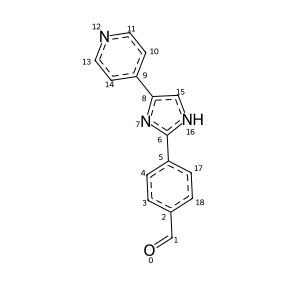 O=Cc1ccc(-c2nc(-c3ccncc3)c[nH]2)cc1